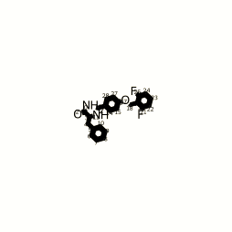 NC(=O)C(Cc1ccccc1)NCc1ccc(OCc2c(F)cccc2F)cc1